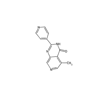 Cc1cncc2nc(-c3ccncc3)[nH]c(=O)c12